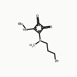 CC(C)CCCN(C)c1c(NC(C)(C)C)c(=O)c1=S